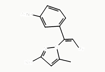 CCCCc1cc(C)n(/C(=C\C(C)C)c2cccc(NC(C)=O)c2)n1